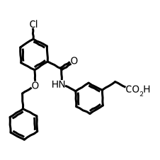 O=C(O)Cc1cccc(NC(=O)c2cc(Cl)ccc2OCc2ccccc2)c1